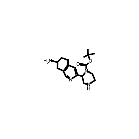 CC(C)(C)OC(=O)N1CCNCC1c1cc2c(cn1)CC(N)CC2